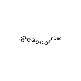 CCCCCCCCCCCCC(C)c1ccc(COCCOCCOCCOCCOC2CCCCO2)cc1